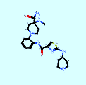 CNC1(C(N)=O)CCN(c2ccccc2NC(=O)c2csc(NC3CCNCC3)n2)CC1